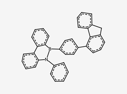 c1ccc(N2B(c3ccc(-c4cccc5c4-c4ccccc4C5)cc3)c3ccccc3-c3ccccc32)cc1